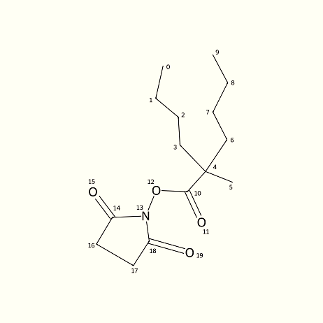 CCCCC(C)(CCCC)C(=O)ON1C(=O)CCC1=O